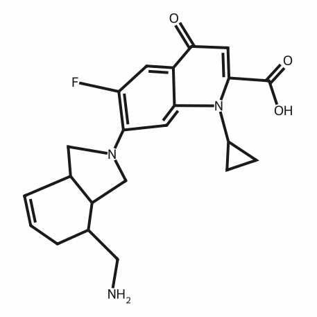 NCC1CC=CC2CN(c3cc4c(cc3F)c(=O)cc(C(=O)O)n4C3CC3)CC21